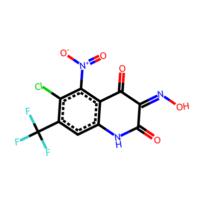 O=C1Nc2cc(C(F)(F)F)c(Cl)c([N+](=O)[O-])c2C(=O)C1=NO